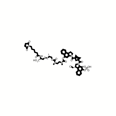 C[C@H](COC(=O)N(C)CCN(C)C(=O)Oc1cc2c(c3ccccc13)CCN2C(=O)C12CC3(C(=O)N4C[C@@H](CCl)c5c4cc(OP(=O)(O)O)c4ccccc54)CC13C2)SSC[C@H](NC(=O)CCCCCN1C(=O)C=CC1=O)C(=O)O